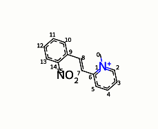 C[n+]1ccccc1/C=C/c1ccccc1[N+](=O)[O-]